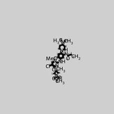 C=CC(=O)Nc1cc(Nc2ncc(Cl)c(OC3(C)CN(S(C)(=O)=O)C3)n2)c(OC)cc1N1CCC(N(C)C)CC1